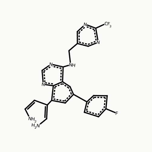 N/C=C\C(=C/N)c1cc(-c2ccc(F)cc2)cc2c(NCc3cnc(C(F)(F)F)nc3)ncnc12